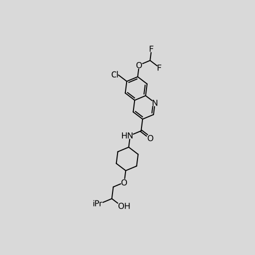 CC(C)C(O)COC1CCC(NC(=O)c2cnc3cc(OC(F)F)c(Cl)cc3c2)CC1